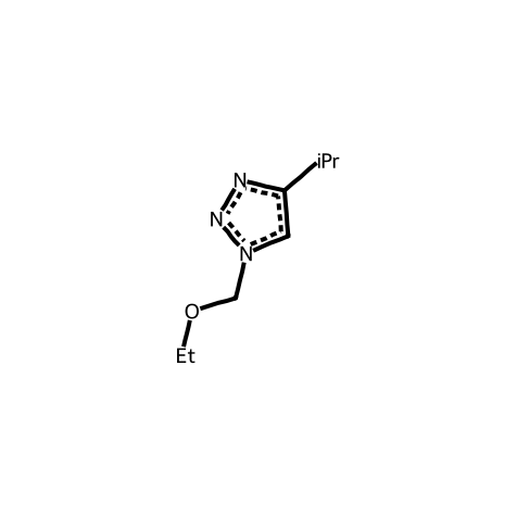 CCOCn1cc(C(C)C)nn1